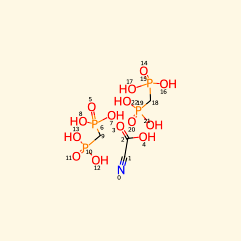 N#CC(=O)O.O=P(O)(O)CP(=O)(O)O.O=P(O)(O)CP(=O)(O)O